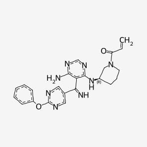 C=CC(=O)N1CCC[C@@H](Nc2ncnc(N)c2C(=N)c2cnc(Oc3ccccc3)nc2)C1